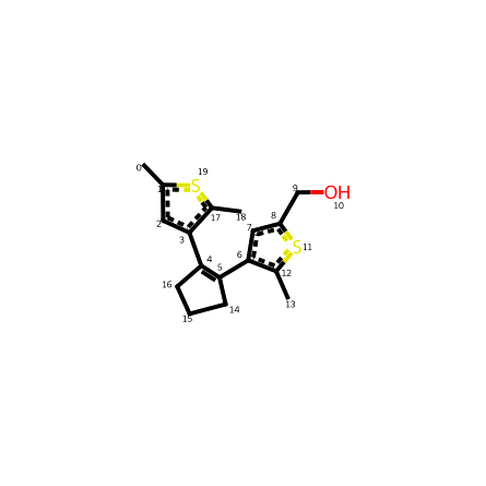 Cc1cc(C2=C(c3cc(CO)sc3C)CCC2)c(C)s1